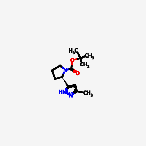 Cc1cc([C@@H]2CCCN2C(=O)OC(C)(C)C)[nH]n1